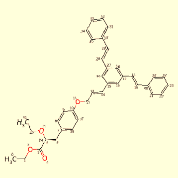 CCOC(=O)[C@H](Cc1ccc(OCC=Cc2cc(C=Cc3ccccc3)cc(C=Cc3ccccc3)c2)cc1)OCC